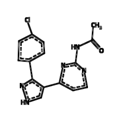 CC(=O)Nc1nccc(-c2c[nH]nc2-c2ccc(Cl)cc2)n1